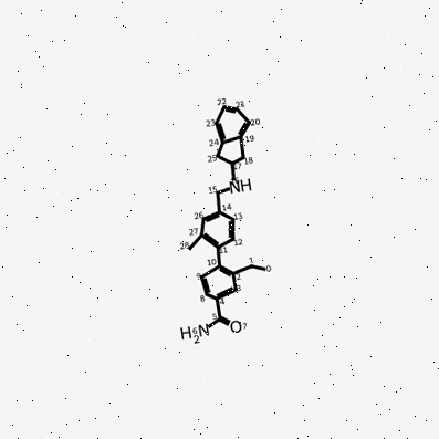 CCc1cc(C(N)=O)ccc1-c1ccc(CNC2Cc3ccccc3C2)cc1C